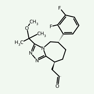 COC(C)(C)c1nnc2n1C[C@H](c1cccc(F)c1F)CC[C@H]2C[C]=O